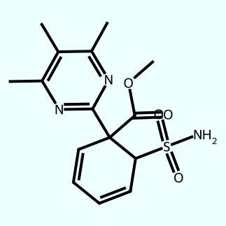 COC(=O)C1(c2nc(C)c(C)c(C)n2)C=CC=CC1S(N)(=O)=O